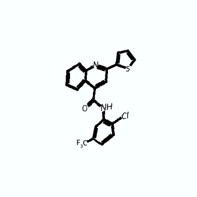 O=C(Nc1cc(C(F)(F)F)ccc1Cl)c1cc(-c2cccs2)nc2ccccc12